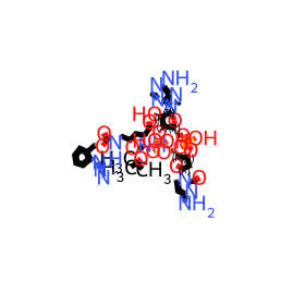 CC(C)(C)OC(=O)NC(CCCNC(=O)OCc1ccccc1N=[N+]=[N-])C(=O)O[C@H]1[C@@H](O)[C@H](n2cnc3c(N)ncnc32)O[C@@H]1COP(=O)(O)O[C@H]1C[C@H](n2ccc(N)nc2=O)O[C@@H]1COP(=O)(O)O